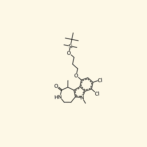 CC1C(=O)NCCc2c1c1c(OCCCO[Si](C)(C)C(C)(C)C)cc(Cl)c(Cl)c1n2C